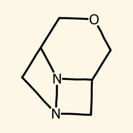 C1OCC2CN3CC1N23